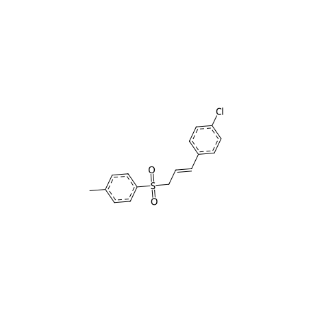 Cc1ccc(S(=O)(=O)CC=Cc2ccc(Cl)cc2)cc1